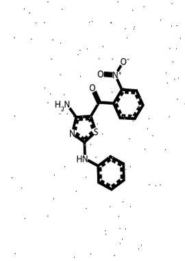 Nc1nc(Nc2ccccc2)sc1C(=O)c1ccccc1[N+](=O)[O-]